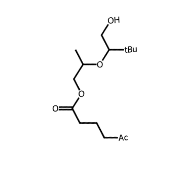 CC(=O)CCCC(=O)OCC(C)OC(CO)C(C)(C)C